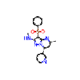 CNc1nn2c(-c3cccnc3)cc(C)nc2c1S(=O)(=O)c1ccccc1